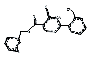 O=C(OCc1ccccc1)c1ccc(-c2ccccc2Cl)[nH]c1=O